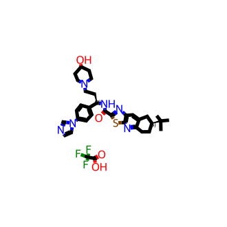 CC(C)(C)[C@H]1CCc2nc3sc(C(=O)N[C@H](CCN4CCC(O)CC4)c4ccc(-n5ccnc5)cc4)nc3cc2C1.O=C(O)C(F)(F)F